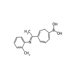 C/C(=N\c1ccccc1C)C1=CCC(B(O)O)=CC=C1